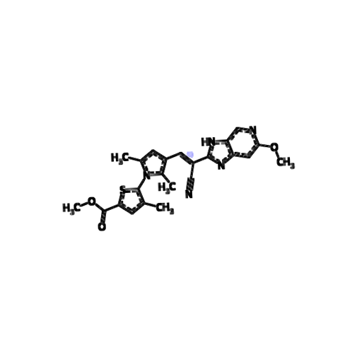 COC(=O)c1cc(C)c(-n2c(C)cc(/C=C(\C#N)c3nc4cc(OC)ncc4[nH]3)c2C)s1